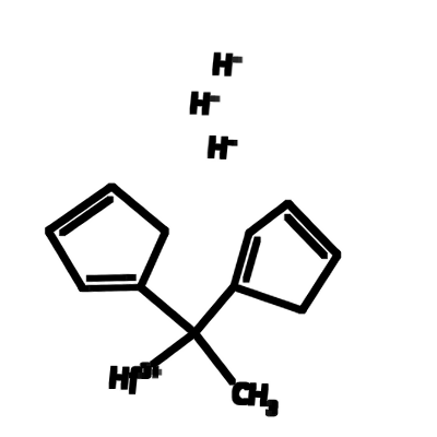 C[C]([Hf+3])(C1=CC=CC1)C1=CC=CC1.[H-].[H-].[H-]